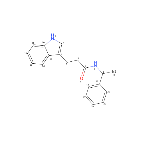 CCC(NC(=O)CCc1c[nH]c2ccccc12)c1ccccc1